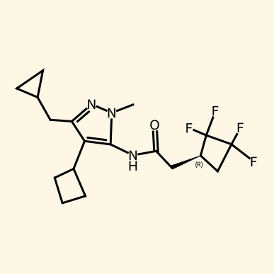 Cn1nc(CC2CC2)c(C2CCC2)c1NC(=O)C[C@@H]1CC(F)(F)C1(F)F